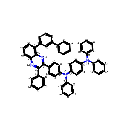 c1ccc(-c2cccc(-c3cccc4nc(-c5ccccc5)c(-c5ccc(N(c6ccccc6)c6ccc(N(c7ccccc7)c7ccccc7)cc6)cc5)nc34)c2)cc1